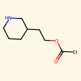 CCC(=O)OCCC1CCCNC1